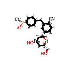 CC[S+]([O-])c1ccc(Cc2cc([C@H]3C[C@@H](O)C[C@@H](CO)O3)ccc2C#N)cc1